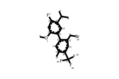 COc1cc(F)c(C(C)C)cc1-c1cc(C)c(C(F)(F)F)cc1CBr